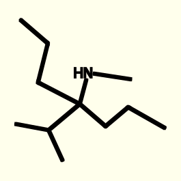 CCCC(CCC)(NC)C(C)C